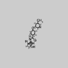 Cc1cncc(Oc2ccc(C(=O)N[C@@H]3C[C@H]4CC[C@@H]3N4)cc2)c1